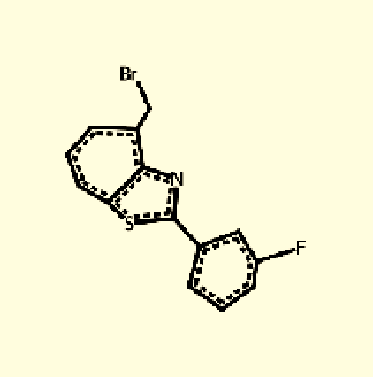 Fc1cccc(-c2nc3c(CBr)cccc3s2)c1